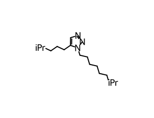 CC(C)CCCCCCn1nncc1CCCC(C)C